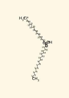 CCCCCCCCCCCCCCCCCCOP(O)OCCCCCCCCCCCCCCCC